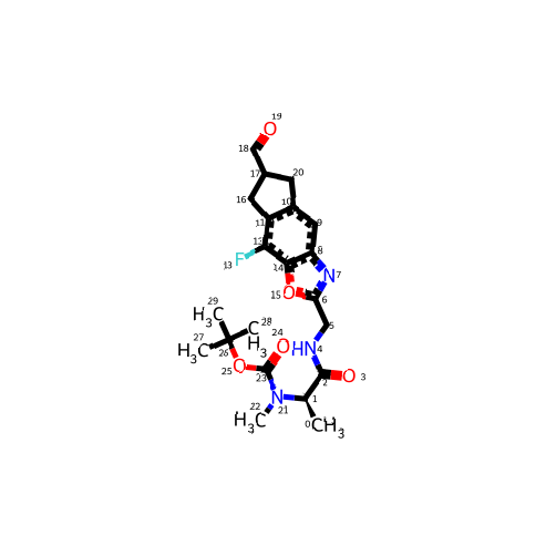 C[C@H](C(=O)NCc1nc2cc3c(c(F)c2o1)CC(C=O)C3)N(C)C(=O)OC(C)(C)C